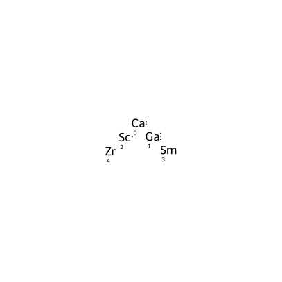 [Ca].[Ga].[Sc].[Sm].[Zr]